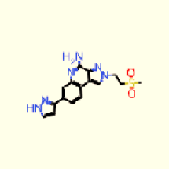 CS(=O)(=O)CCn1cc2c(n1)c(N)nc1cc(-c3cc[nH]n3)ccc12